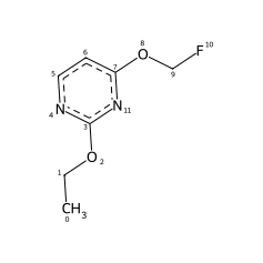 CCOc1nccc(OCF)n1